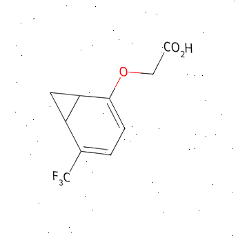 O=C(O)COC1=CC=C(C(F)(F)F)C2CC12